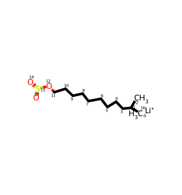 CC(C)CCCCCCCCCO[S-](=O)=O.[Li+]